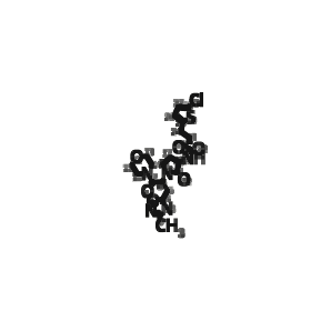 Cc1noc(C[C@@H](C(=O)N2CCOCC2)N2CC[C@H](NS(=O)(=O)CCc3ccc(Cl)s3)C2=O)n1